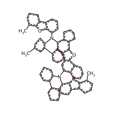 Cc1ccc(N(c2cc3c4cc(N(c5ccccc5-c5ccccc5)c5cccc6c5oc5c(C)cccc56)c5ccccc5c4oc3c3ccccc23)c2cccc3c2oc2c(C)cccc23)c(-c2ccccc2)c1